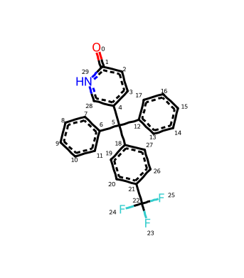 O=c1ccc(C(c2ccccc2)(c2ccccc2)c2ccc(C(F)(F)F)cc2)c[nH]1